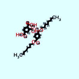 CCCCCCCCOC(=O)c1ccc(C(=O)OCCCCCCCC)cc1.O=C(O)c1ccc(C(=O)O)c(C(=O)O)c1